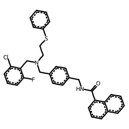 O=C(NCc1ccc(CN(CCSc2ccccc2)Cc2c(F)cccc2Cl)cc1)c1cccc2ccccc12